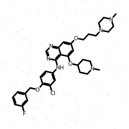 CN1CCC(Oc2cc(OCCCN3CCN(C)CC3)cc3ncnc(Nc4ccc(OCc5cccc(F)c5)c(Cl)c4)c23)CC1